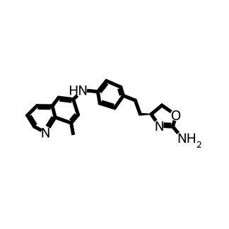 Cc1cc(Nc2ccc(CC[C@H]3COC(N)=N3)cc2)cc2cccnc12